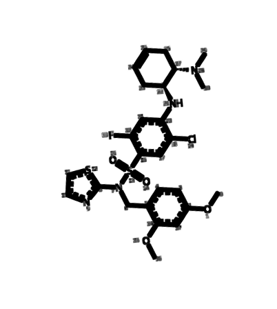 COc1ccc(CN(c2nccs2)S(=O)(=O)c2cc(Cl)c(N[C@H]3CC=CC[C@@H]3N(C)C)cc2F)c(OC)c1